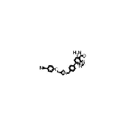 N#Cc1ccc(OCC2CN(Cc3ccc(-c4ccc(C(N)=O)c5n[c]nn45)cc3)C2)cc1